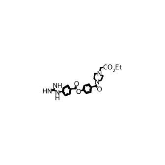 CCOC(=O)CN1CCN(C(=O)c2ccc(OC(=O)c3ccc(NC(=N)N)cc3)cc2)CC1